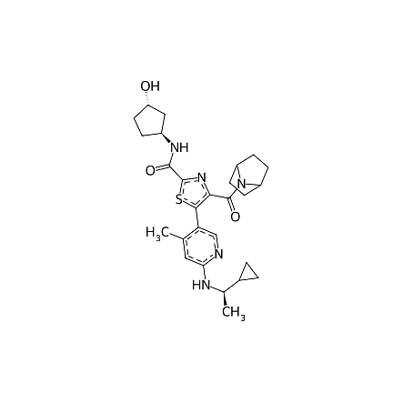 Cc1cc(N[C@H](C)C2CC2)ncc1-c1sc(C(=O)N[C@H]2CC[C@H](O)C2)nc1C(=O)N1C2CCC1CC2